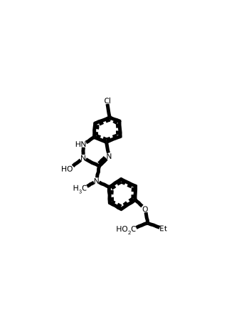 CCC(Oc1ccc(N(C)C2=Nc3ccc(Cl)cc3NN2O)cc1)C(=O)O